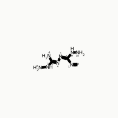 C=N/C(=N\N=C(/N)NN)NN